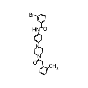 Cc1ccccc1CC(=O)N1CCN(c2ccc(NC(=O)c3cccc(Br)c3)cc2)CC1